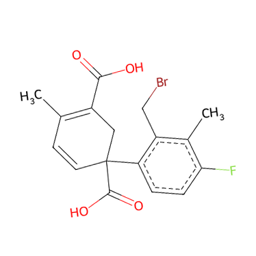 CC1=C(C(=O)O)CC(C(=O)O)(c2ccc(F)c(C)c2CBr)C=C1